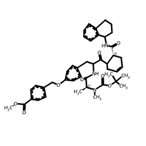 COC(=O)c1ccc(COc2ccc(CC(NC(=O)[C@H](C)N(C)C(=O)OC(C)(C)C)C(=O)C3CC=CC[C@H]3C(=O)NC3CCCc4ccccc43)cc2)cc1